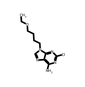 CCOCCCCn1cnc2c(N)nc(Cl)nc21